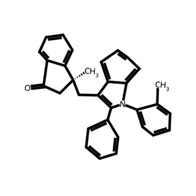 Cc1ccccc1-n1c(-c2ccccc2)c(C[C@@]2(C)CC(=O)c3ccccc32)c2ccccc21